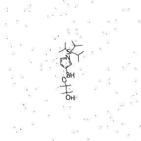 CC(C)[Si](C(C)C)(C(C)C)n1ccc(BOC(C)(C)C(C)(C)O)c1